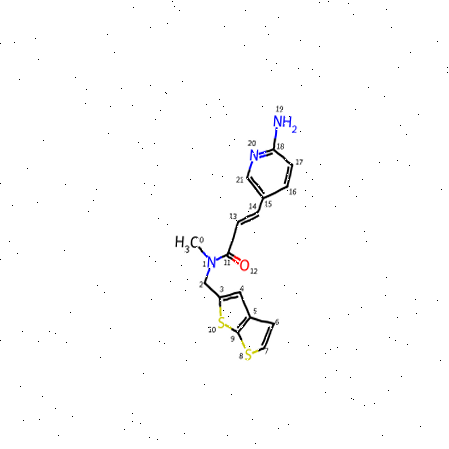 CN(Cc1cc2ccsc2s1)C(=O)C=Cc1ccc(N)nc1